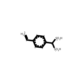 C=Cc1ccc(C(S(=O)(=O)O)S(=O)(=O)O)cc1